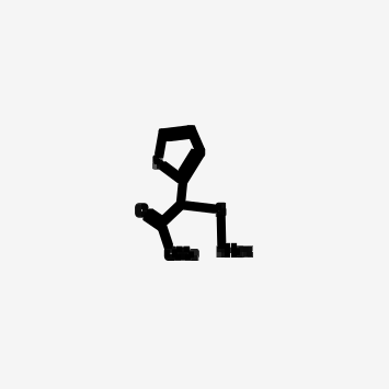 CCCCCCSC(C(=O)OC)c1cccs1